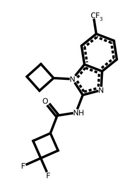 O=C(Nc1nc2ccc(C(F)(F)F)cc2n1C1CCC1)C1CC(F)(F)C1